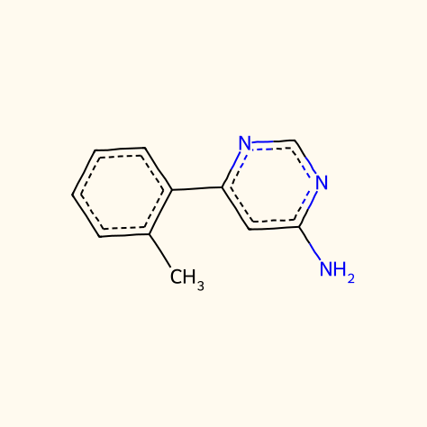 Cc1ccccc1-c1cc(N)ncn1